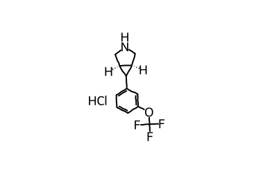 Cl.FC(F)(F)Oc1cccc(C2[C@H]3CNC[C@@H]23)c1